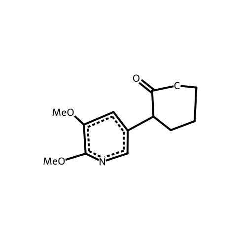 COc1cc(C2CCCCC2=O)cnc1OC